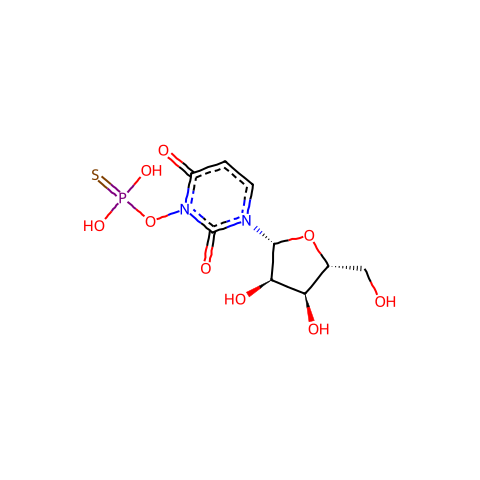 O=c1ccn([C@@H]2O[C@H](CO)[C@@H](O)[C@H]2O)c(=O)n1OP(O)(O)=S